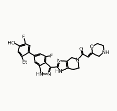 CCc1cc(O)c(F)cc1-c1cc(F)c2c(-c3nc4c([nH]3)CCN(C(=O)C=C3CNCCO3)C4)n[nH]c2c1